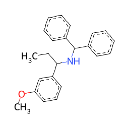 CCC(NC(c1ccccc1)c1ccccc1)c1cccc(OC)c1